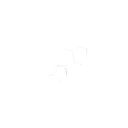 CC1CCCCC1[n+]1ccn(C)c1.[OH-]